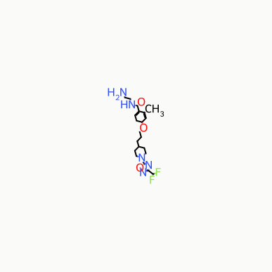 CC1=CC(OCCCC2CCN(c3nc(C(F)F)no3)CC2)CC=C1C(=O)NCCN